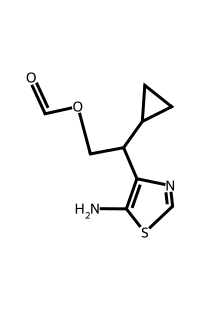 Nc1scnc1C(COC=O)C1CC1